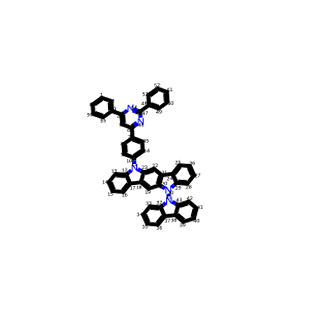 c1ccc(-c2cc(-c3ccc(-n4c5ccccc5c5cc6c(cc54)c4ccccc4n6-n4c5ccccc5c5ccccc54)cc3)nc(-c3ccccc3)n2)cc1